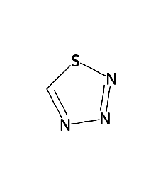 c1nnns1